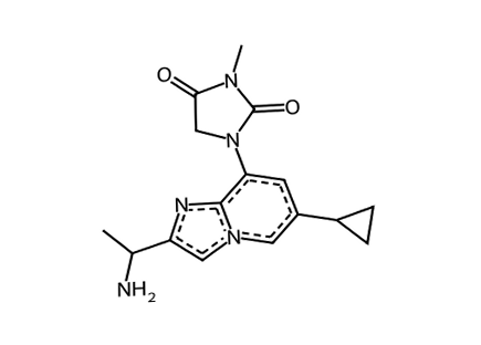 CC(N)c1cn2cc(C3CC3)cc(N3CC(=O)N(C)C3=O)c2n1